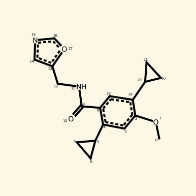 COc1cc(C2CC2)c(C(=O)NCc2cnco2)cc1C1CC1